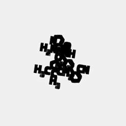 CC1CCN(c2nc(-c3ccccc3C#N)ccc2C(=O)NS(=O)(=O)c2cccnc2N)C1(C)C